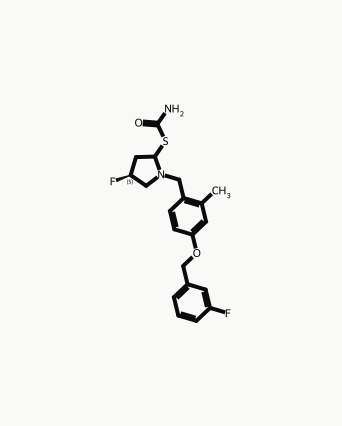 Cc1cc(OCc2cccc(F)c2)ccc1CN1C[C@@H](F)CC1SC(N)=O